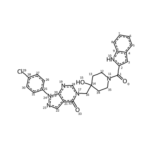 O=C(c1cc2ccccc2[nH]1)N1CCC(O)(Cn2cnc3c(cnn3-c3ccc(Cl)cc3)c2=O)CC1